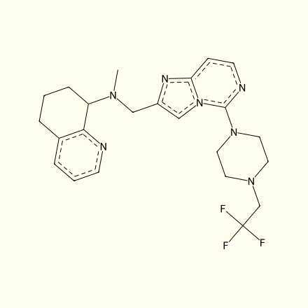 CN(Cc1cn2c(N3CCN(CC(F)(F)F)CC3)nccc2n1)C1CCCc2cccnc21